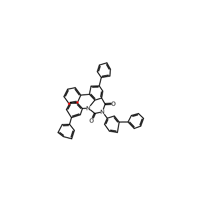 O=c1c2cc(-c3ccccc3)cc(-c3ccccc3)c2n(-c2cccc(-c3ccccc3)c2)c(=O)n1-c1cccc(-c2ccccc2)c1